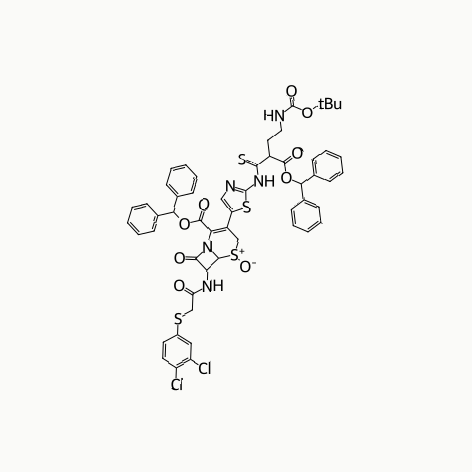 CC(C)(C)OC(=O)NCCC(C(=O)OC(c1ccccc1)c1ccccc1)C(=S)Nc1ncc(C2=C(C(=O)OC(c3ccccc3)c3ccccc3)N3C(=O)C(NC(=O)CSc4ccc(Cl)c(Cl)c4)C3[S+]([O-])C2)s1